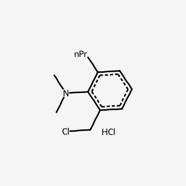 CCCc1cccc(CCl)c1N(C)C.Cl